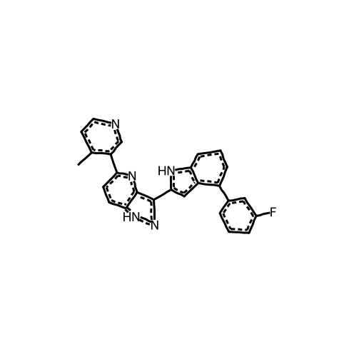 Cc1ccncc1-c1ccc2[nH]nc(-c3cc4c(-c5cccc(F)c5)cccc4[nH]3)c2n1